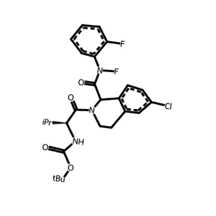 CC(C)[C@H](NC(=O)OC(C)(C)C)C(=O)N1CCc2cc(Cl)ccc2C1C(=O)N(F)c1ccccc1F